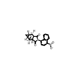 O=C1C2[C@H]3CC[C@H]([C@@H]4C[C@@H]43)[C@H]2C(=O)N1c1ccc([N+](=O)[O-])c2ccccc12